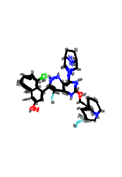 Oc1cc(-c2nnc3c(N4CC5CCC(C4)N5)nc(OC[C@@]45CCCN4C[C@H](F)C5)nc3c2F)c2c(Cl)cccc2c1